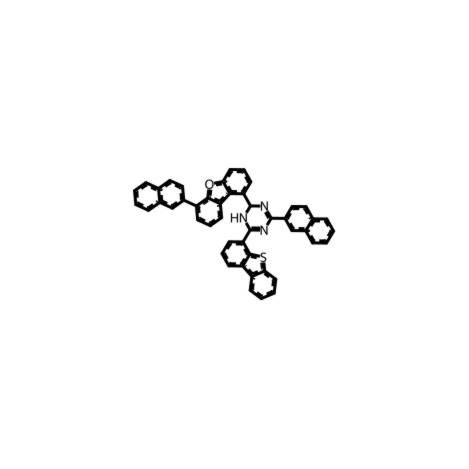 c1ccc2cc(C3=NC(c4cccc5oc6c(-c7ccc8ccccc8c7)cccc6c45)NC(c4cccc5c4sc4ccccc45)=N3)ccc2c1